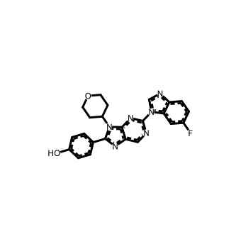 Oc1ccc(-c2nc3cnc(-n4cnc5ccc(F)cc54)nc3n2C2CCOCC2)cc1